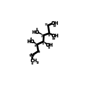 C[N]C[C@H](O)[C@@H](O)[C@H](O)[C@H](O)CO